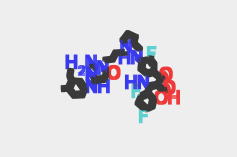 CCc1cc(Nc2cc(=O)n(CCCCN3CCCC3CNc3cc4[nH]c(-c5ccc(F)cc5F)c(C(=O)O)c(=O)c4cc3F)c(N)n2)ccc1C